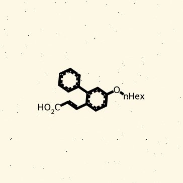 CCCCCCOc1ccc(C=CC(=O)O)c(-c2ccccc2)c1